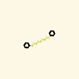 c1ccc(SSSSSSSSSc2ccccc2)cc1